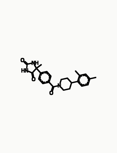 Cc1ccc(C2CCN(C(=O)c3ccc(C4(C)NC(=O)NC4=O)cc3)CC2)c(C)c1